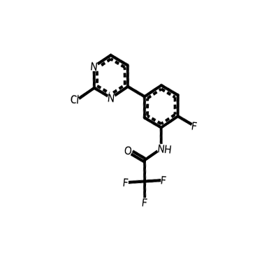 O=C(Nc1cc(-c2ccnc(Cl)n2)ccc1F)C(F)(F)F